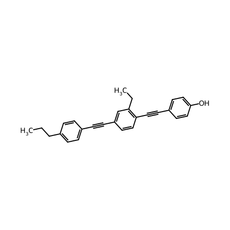 CCCc1ccc(C#Cc2ccc(C#Cc3ccc(O)cc3)c(CC)c2)cc1